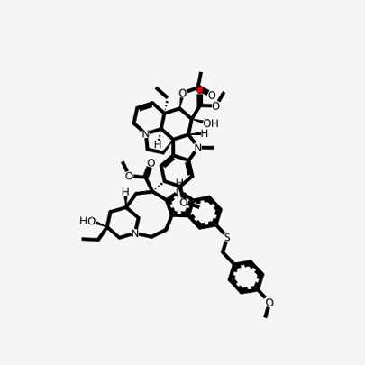 CC[C@]1(O)C[C@H]2CN(CCc3c([nH]c4ccc(SCc5ccc(OC)cc5)cc34)[C@@](C(=O)OC)(C3C=C4C(=CC3OC)N(C)[C@H]3[C@@](O)(C(=O)OC)[C@H](OC(C)=O)[C@]5(CC)C=CCN6CC[C@]43[C@@H]65)C2)C1